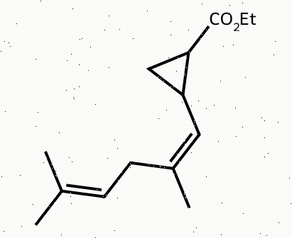 CCOC(=O)C1CC1C=C(C)CC=C(C)C